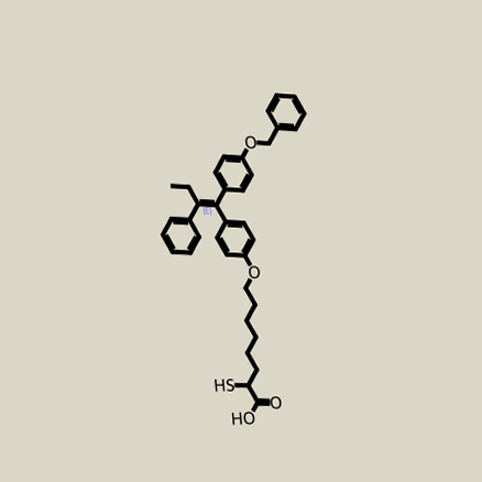 CC/C(=C(/c1ccc(OCCCCCCC(S)C(=O)O)cc1)c1ccc(OCc2ccccc2)cc1)c1ccccc1